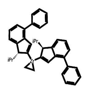 CC(C)[C@@H]1[C]([Zr]2([C]3=Cc4c(-c5ccccc5)cccc4[C@H]3C(C)C)[CH2][CH2]2)=Cc2c(-c3ccccc3)cccc21